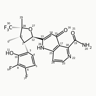 C[C@H]1[C@@H](c2ccc(F)c(F)c2O)[C@H](c2cc(=O)c3c(C(N)=O)nccc3[nH]2)O[C@@]1(C)C(F)(F)F